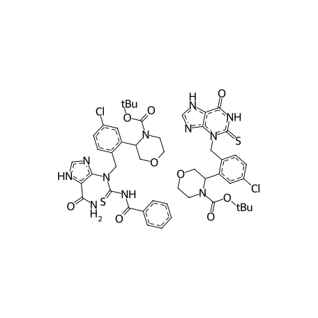 CC(C)(C)OC(=O)N1CCOCC1c1cc(Cl)ccc1CN(C(=S)NC(=O)c1ccccc1)c1nc[nH]c1C(N)=O.CC(C)(C)OC(=O)N1CCOCC1c1cc(Cl)ccc1Cn1c(=S)[nH]c(=O)c2[nH]cnc21